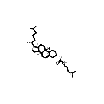 CC(C)CCC[C@@H](C)[C@H]1CC[C@H]2[C@@H]3CC=C4C[C@@H](OC(=O)NCCCN(C)C)CC[C@]4(C)[C@H]3CC[C@]12C